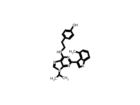 Cc1cccc2scc(-c3nc(NCCc4ccc(O)cc4)c4ncn(C(C)C)c4n3)c12